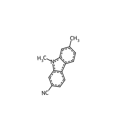 Cc1ccc2c3ccc(C#N)cc3n(C)c2c1